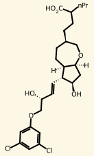 CCCC(CC[C@@H]1CC[C@@H]2[C@@H](/C=C/[C@@H](O)COc3cc(Cl)cc(Cl)c3)[C@H](O)C[C@@H]2OC1)C(=O)O